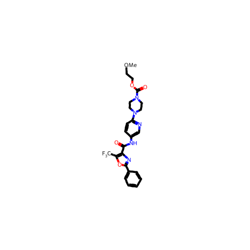 COCCOC(=O)N1CCN(c2ccc(NC(=O)c3nc(-c4ccccc4)oc3C(F)(F)F)cn2)CC1